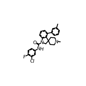 Cc1cccc(-c2cccc3c2C2(CCN(C)CC2)CN3C(=O)Nc2ccc(F)c(Cl)c2)c1